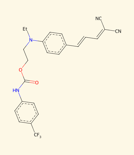 CCN(CCOC(=O)Nc1ccc(C(F)(F)F)cc1)c1ccc(/C=C/C=C(C#N)C#N)cc1